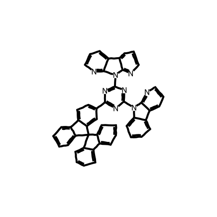 c1ccc2c(c1)-c1ccccc1C21c2ccccc2-c2ccc(-c3nc(-n4c5ccccc5c5cccnc54)nc(-n4c5ncccc5c5cccnc54)n3)cc21